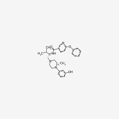 CC(C)[C@@H](CN1CCN(c2cccc(O)c2)[C@@H](C)C1)NC(=O)c1ccc(Oc2ccccc2)nc1